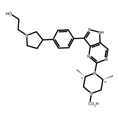 C[C@@H]1CN(C(=O)O)C[C@H](C)N1c1ncc2[nH]nc(-c3ccc(C4CCN(CCO)C4)cc3)c2n1